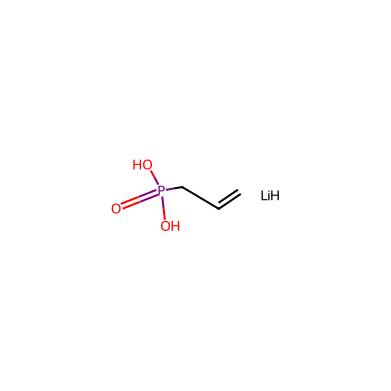 C=CCP(=O)(O)O.[LiH]